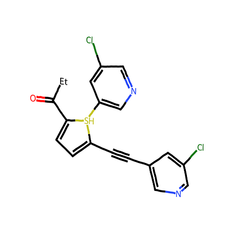 CCC(=O)C1=CC=C(C#Cc2cncc(Cl)c2)[SH]1c1cncc(Cl)c1